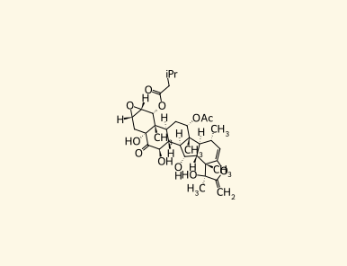 C=C1OC2=C[C@@H](C)[C@H]3[C@@H]([C@H](O)[C@H]4[C@@H]5[C@@H](O)C(=O)[C@@]6(O)C[C@@H]7O[C@@H]7[C@H](OC(=O)CC(C)C)[C@]6(C)[C@H]5C[C@H](OC(C)=O)[C@]34C)[C@@]2(C)[C@]1(C)O